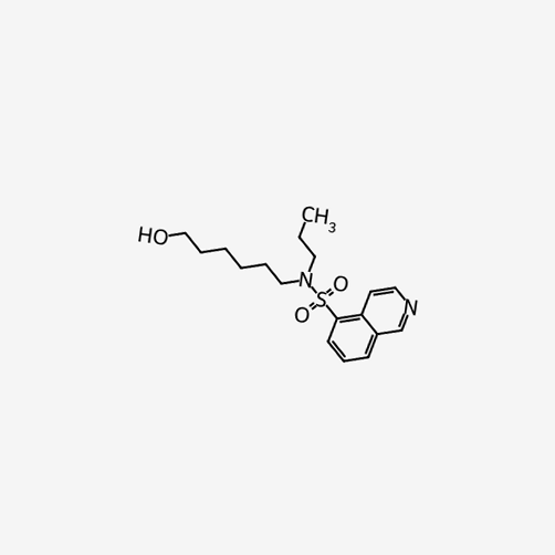 CCCN(CCCCCCO)S(=O)(=O)c1cccc2cnccc12